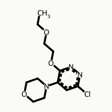 CCOCCOc1nnc(Cl)cc1N1CCOCC1